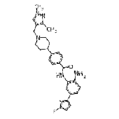 Cc1nn(C)cc1CN1CCC(c2ccc(C(=O)Nc3cc(-c4ccc(F)s4)ccc3N)cc2)CC1